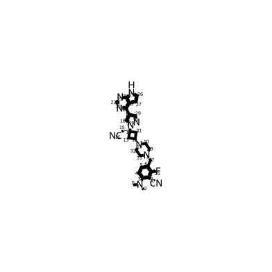 CN(C)c1ccc(CN2CCN([C@H]3C[C@@](CC#N)(n4cc(-c5ncnc6[nH]ccc56)cn4)C3)CC2)c(F)c1C#N